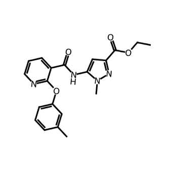 CCOC(=O)c1cc(NC(=O)c2cccnc2Oc2cccc(C)c2)n(C)n1